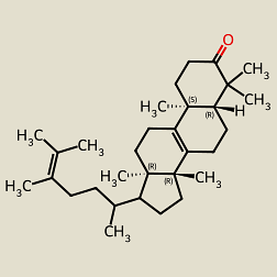 CC(C)=C(C)CCC(C)C1CC[C@@]2(C)C3=C(CC[C@]12C)[C@@]1(C)CCC(=O)C(C)(C)[C@@H]1CC3